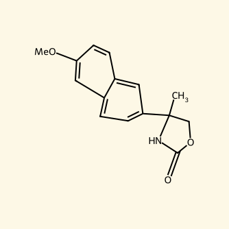 COc1ccc2cc(C3(C)COC(=O)N3)ccc2c1